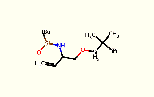 C=CC(CO[SiH2]C(C)(C)C(C)C)N[S+]([O-])C(C)(C)C